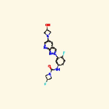 O=C(Nc1ccc(F)c(-n2cc3cc(N4CC(O)C4)cnc3n2)c1)N1CC(F)C1